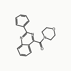 O=C(c1nc(-c2ccccc2)nc2ccccc12)N1CCOCC1